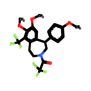 COc1ccc(C2CN(C(=O)C(F)(F)F)CCc3c2cc(OC)c(OC)c3C(F)(F)F)cc1